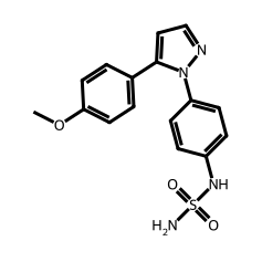 COc1ccc(-c2ccnn2-c2ccc(NS(N)(=O)=O)cc2)cc1